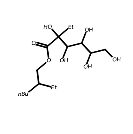 CCCCC(CC)COC(=O)C(O)(CC)C(O)C(O)C(O)CO